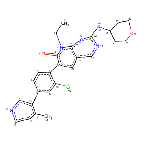 CCn1c(=O)c(-c2ccc(-c3cnccc3C)cc2Cl)cc2cnc(NC3CCOCC3)nc21